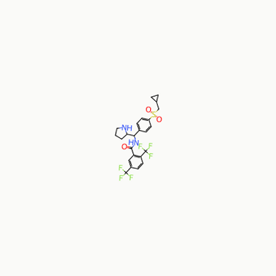 O=C(N[C@H](c1ccc(S(=O)(=O)CC2CC2)cc1)C1CCCN1)c1cc(C(F)(F)F)ccc1C(F)(F)F